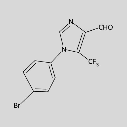 O=Cc1ncn(-c2ccc(Br)cc2)c1C(F)(F)F